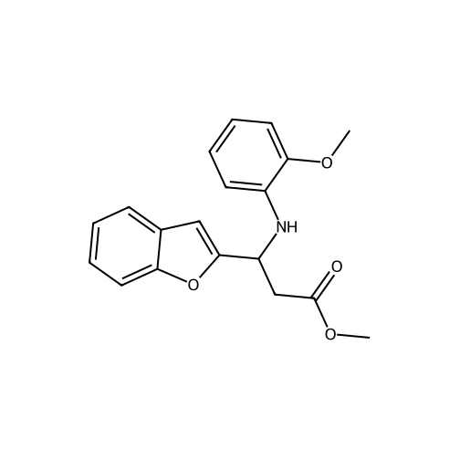 COC(=O)CC(Nc1ccccc1OC)c1cc2ccccc2o1